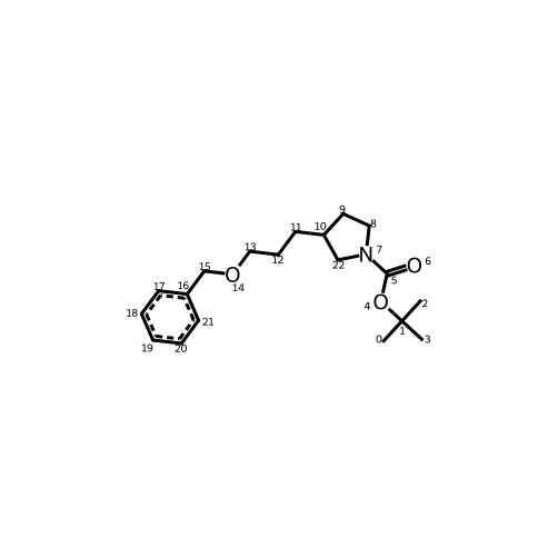 CC(C)(C)OC(=O)N1CCC(CCCOCc2ccccc2)C1